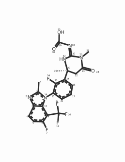 Cc1nc2ccc(F)c(C(F)(F)F)c2n1-c1cccc([C@]2(C)CC(=O)N(C)/C(=N/C(=O)O)N2)c1F